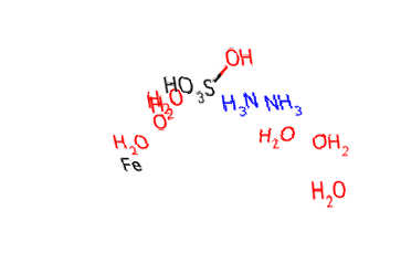 N.N.O.O.O.O.O.O.O=S(=O)(O)O.[Fe]